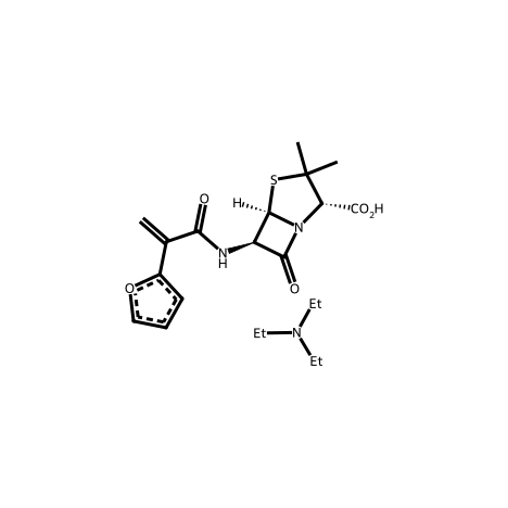 C=C(C(=O)N[C@@H]1C(=O)N2[C@@H]1SC(C)(C)[C@@H]2C(=O)O)c1ccco1.CCN(CC)CC